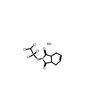 O=C1C2CC=CCC2C(=O)N1SC(Cl)(Cl)C(Cl)Cl.[KH]